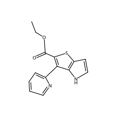 CCOC(=O)c1sc2cc[nH]c2c1-c1ccccn1